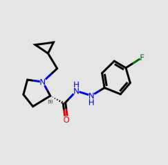 O=C(NNc1ccc(F)cc1)[C@@H]1CCCN1CC1CC1